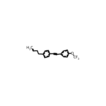 C=CCCc1ccc(C#Cc2ccc(OC(F)(F)F)cc2)cc1